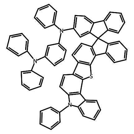 c1ccc(N(c2ccccc2)c2cccc(N(c3ccccc3)c3ccc4c(c3)C3(c5ccccc5-4)c4ccccc4-c4c3ccc3c4sc4c3ccc3c4c4ccccc4n3-c3ccccc3)c2)cc1